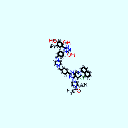 CC(C)c1cc(-c2nnc(O)n2-c2ccc(CN3CCN(CC4CCC(c5nc6c(c(N7CCN(C(=O)C(F)(F)F)[C@@H](CC#N)C7)n5)CCN(c5cccc7cccc(Cl)c57)C6)CC4)CC3)cc2)c(O)cc1O